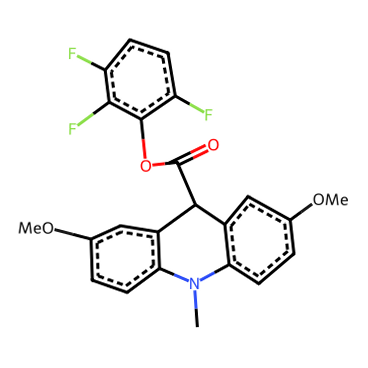 COc1ccc2c(c1)C(C(=O)Oc1c(F)ccc(F)c1F)c1cc(OC)ccc1N2C